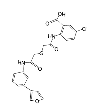 O=C(CSCC(=O)Nc1ccc(Cl)cc1C(=O)O)Nc1cccc(-c2ccoc2)c1